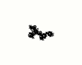 C[C@@H]1CN(CC(=O)N2CC(C)(C)c3ccc(Cc4ccc(F)cc4)cc32)[C@@H](CN2[C@H](C)COC[C@H]2C)CN1C(=O)OC(C)(C)C